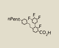 CCCCCc1ccc(CCc2ccc(C(=O)O)c(F)c2-c2cc(F)c(F)c(F)c2)cc1